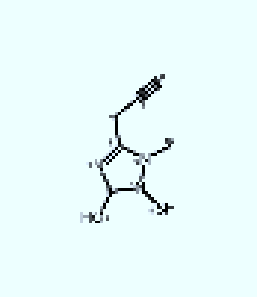 C#CCC1=NC(O)N(S)N1C